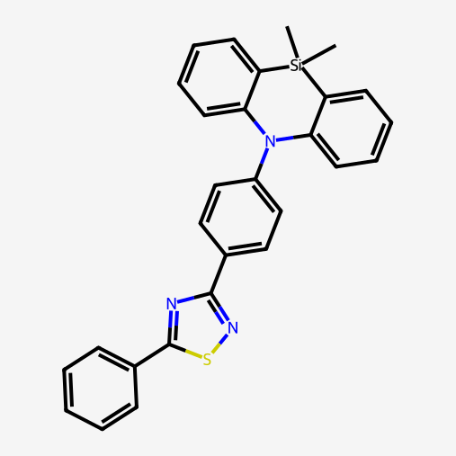 C[Si]1(C)c2ccccc2N(c2ccc(-c3nsc(-c4ccccc4)n3)cc2)c2ccccc21